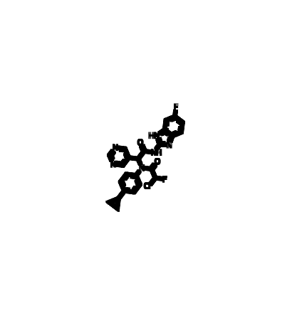 O=C(Nc1nc2ccc(F)cc2[nH]1)C(c1cncnc1)N(C(=O)C(F)Cl)c1ccc(C2CC2)cc1